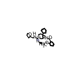 COc1ccccc1C(=O)NCC1(c2ccccc2)CCN(/C(=N\C#N)NCC2CCCO2)CC1